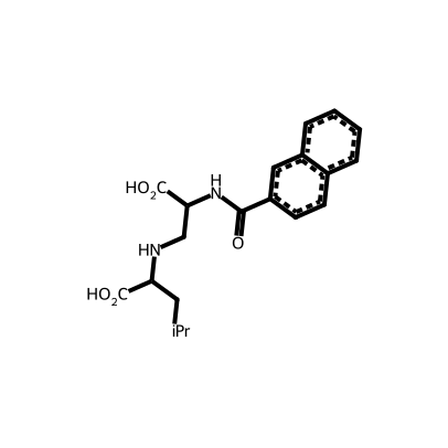 CC(C)CC(NCC(NC(=O)c1ccc2ccccc2c1)C(=O)O)C(=O)O